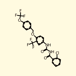 O=C(NC(=O)c1ccccc1Cl)Nc1ccc(OCc2ccc(OC(F)(F)F)cc2)c(C(F)(F)F)c1